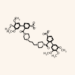 COc1cc(-c2ccc([N+](=O)[O-])cc2C(=O)N2CCN(CCCN3CCN(C(=O)c4cc([N+](=O)[O-])ccc4-c4cc(OC)c(OC)c(OC)c4)CC3)CC2)cc(OC)c1OC